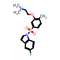 Cc1ccc(S(=O)(=O)n2ccc3cc(F)ccc32)cc1OCCN(C)C